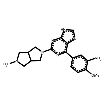 COc1ccc(-c2nc(N3CC4CN(C)CC4C3)nc3[nH]cnc23)cc1[N+](=O)[O-]